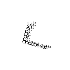 [La+3].[La+3].[O-2].[O-2].[O-2].[O-2].[O-2].[O-2].[O-2].[O-2].[O-2].[Sn+4].[Sn+4].[Sr+2].[Sr+2]